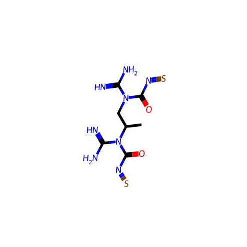 CC(CN(C(=N)N)C(=O)N=S)N(C(=N)N)C(=O)N=S